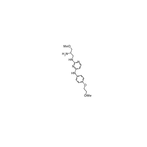 COCCOc1ccc(Nc2ccnc(NCC(N)COC)n2)cc1